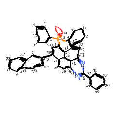 O=P(c1ccccc1)(c1ccccc1)c1cc(-c2ccc3ccccc3c2)c2ccc3nc(-c4ccccc4)nc4ccc1c2c34